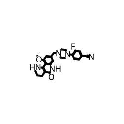 COc1cc(CN2CCN(c3ccc(C#N)cc3F)CC2)cc2[nH]c(=O)c3c(c12)NCCC3